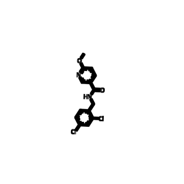 COc1ccc(C(=O)NCc2ccc(Cl)cc2Cl)cn1